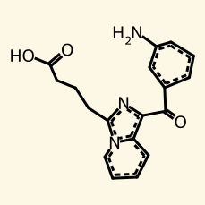 Nc1cccc(C(=O)c2nc(CCCC(=O)O)n3ccccc23)c1